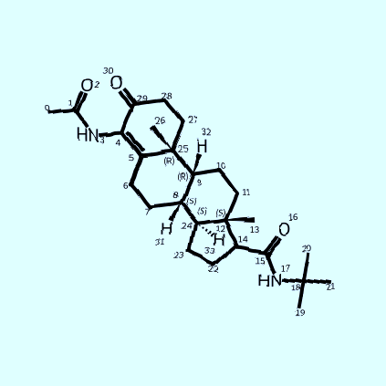 CC(=O)NC1=C2CC[C@@H]3[C@@H](CC[C@]4(C)C(C(=O)NC(C)(C)C)CC[C@@H]34)[C@@]2(C)CCC1=O